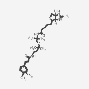 C=C1N[C@H]2CSC(CCCCC(=O)NC(C)(C)COC(C)(C)CCNC(=O)/C=C/c3ccc(C)c(C)c3)[C@H]2N1